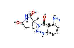 CC1(n2nnc3cccc(N)c3c2=O)CCC(=O)NC1=O